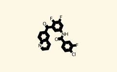 O=C(Nc1cc(F)c(F)c(C(=O)c2ccc3ncccc3c2)c1)c1ccc(Cl)c(F)c1